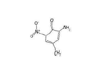 CC1=CC([N+](=O)[O-])C(=O)C(N)=C1